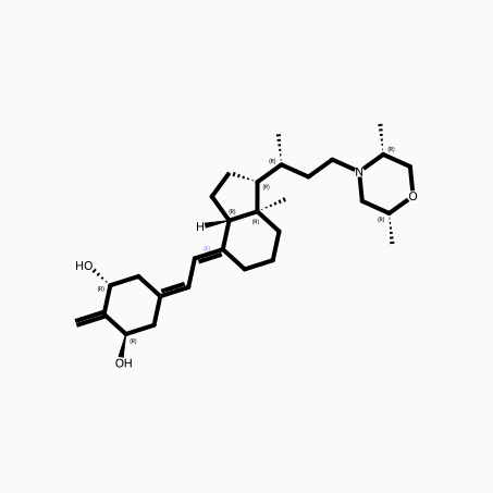 C=C1[C@H](O)CC(=C/C=C2\CCC[C@]3(C)[C@@H]([C@H](C)CCN4C[C@@H](C)OC[C@H]4C)CC[C@@H]23)C[C@H]1O